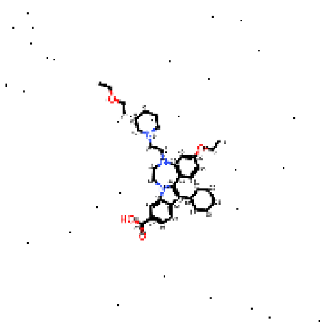 CCOCC[C@@H]1CCCN(CCN2CCn3c(c(C4CCCCC4)c4ccc(C(=O)O)cc43)-c3ccc(OCC)cc32)C1